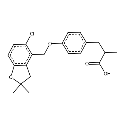 CC(Cc1ccc(OCc2c(Cl)ccc3c2CC(C)(C)O3)cc1)C(=O)O